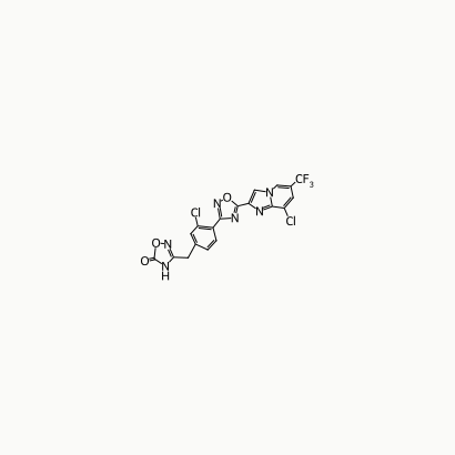 O=c1[nH]c(Cc2ccc(-c3noc(-c4cn5cc(C(F)(F)F)cc(Cl)c5n4)n3)c(Cl)c2)no1